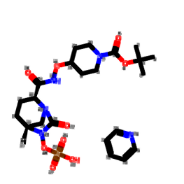 CC(C)(C)OC(=O)N1CCC(ONC(=O)[C@@H]2CC[C@@H]3CN2C(=O)N3OS(=O)(=O)O)CC1.c1ccncc1